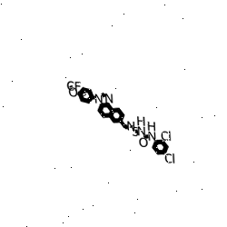 O=C(NS/N=C/c1ccc2c(ccc3c2ncn3-c2ccc(OC(F)(F)F)cc2)c1)Nc1ccc(Cl)cc1Cl